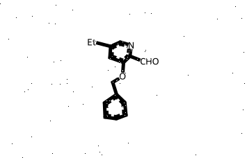 CCc1cnc(C=O)c(OCc2ccccc2)c1